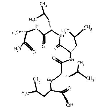 CC(C)CC(N[C@@H](CC(C)C)C(=O)N[C@@H](CC(C)C)C(=O)N[C@@H](CC(C)C)C(=O)N[C@@H](C)C(N)=O)C(=O)O